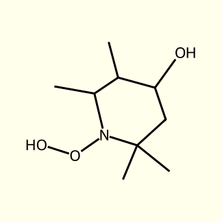 CC1C(O)CC(C)(C)N(OO)C1C